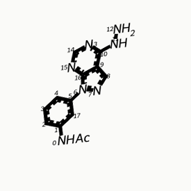 CC(=O)Nc1cccc(-n2ncc3c(NN)ncnc32)c1